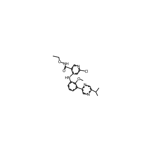 CCONC(=O)c1cnc(Cl)cc1Nc1cccc(-c2cnc(C(C)C)cn2)c1OC